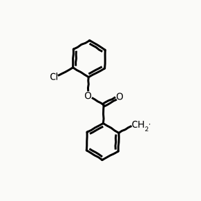 [CH2]c1ccccc1C(=O)Oc1ccccc1Cl